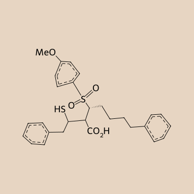 COc1ccc(S(=O)(=O)[C@H](CCCCc2ccccc2)C(C(=O)O)C(S)Cc2ccccc2)cc1